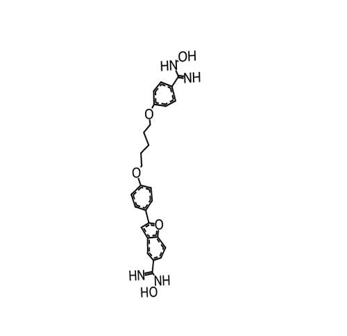 N=C(NO)c1ccc(OCCCCCOc2ccc(-c3cc4cc(C(=N)NO)ccc4o3)cc2)cc1